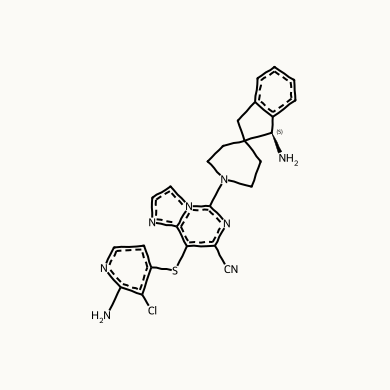 N#Cc1nc(N2CCC3(CC2)Cc2ccccc2[C@H]3N)n2ccnc2c1Sc1ccnc(N)c1Cl